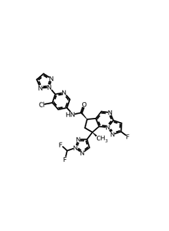 C[C@@]1(c2cnn(C(F)F)n2)C[C@@H](C(=O)Nc2cnc(-n3nccn3)c(Cl)c2)c2cnc3cc(F)nn3c21